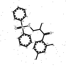 Cc1ccc(C(=O)C(C)COP(=O)(c2ccccc2)c2ccccc2)c(C)c1